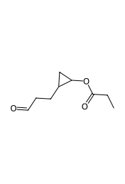 CCC(=O)OC1CC1CCC=O